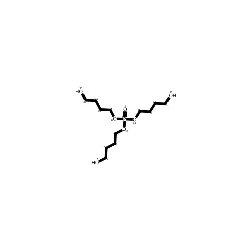 O=P(OCCCCO)(OCCCCO)OCCCCO